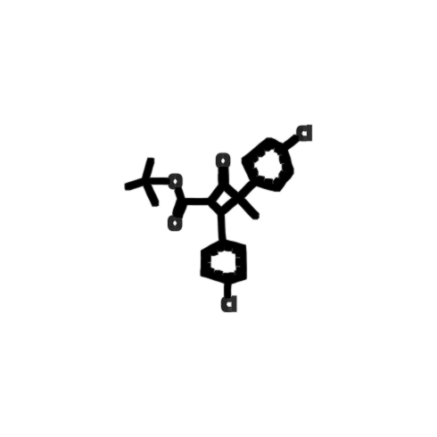 CC(C)(C)OC(=O)C1C(=O)C(C)(c2ccc(Cl)cc2)C1c1ccc(Cl)cc1